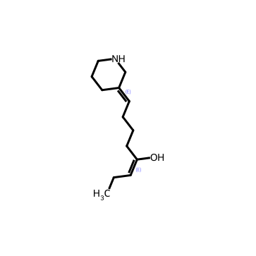 CC/C=C(/O)CCC/C=C1\CCCNC1